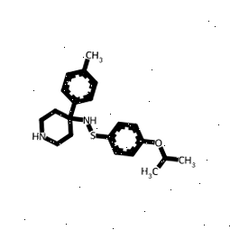 Cc1ccc(C2(NSc3ccc(OC(C)C)cc3)CCNCC2)cc1